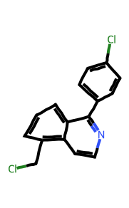 ClCc1cccc2c(-c3ccc(Cl)cc3)nccc12